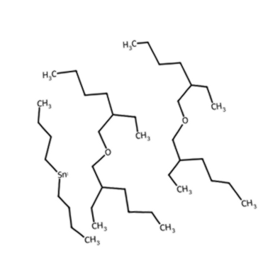 CCCCC(CC)COCC(CC)CCCC.CCCCC(CC)COCC(CC)CCCC.CCC[CH2][Sn][CH2]CCC